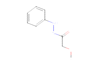 CCOCC(=O)NNc1ccccc1